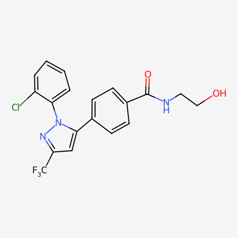 O=C(NCCO)c1ccc(-c2cc(C(F)(F)F)nn2-c2ccccc2Cl)cc1